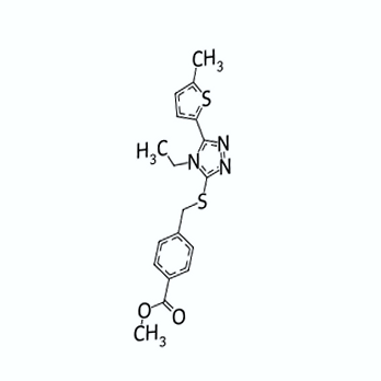 CCn1c(SCc2ccc(C(=O)OC)cc2)nnc1-c1ccc(C)s1